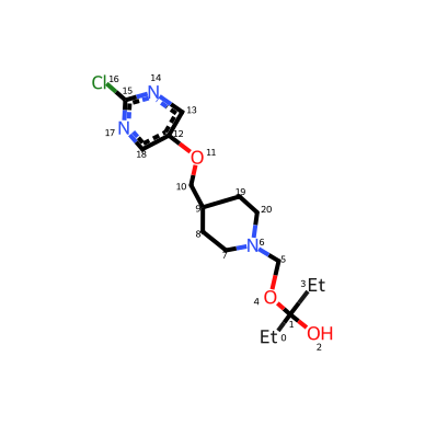 CCC(O)(CC)OCN1CCC(COc2cnc(Cl)nc2)CC1